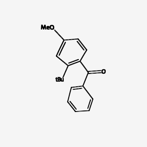 COc1ccc(C(=O)c2ccccc2)c(C(C)(C)C)c1